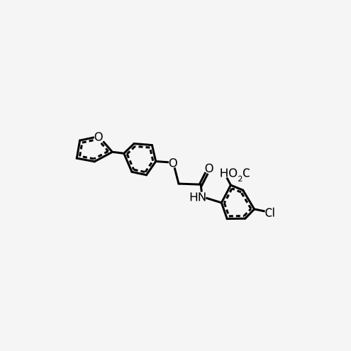 O=C(COc1ccc(-c2ccco2)cc1)Nc1ccc(Cl)cc1C(=O)O